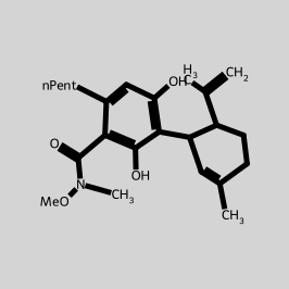 C=C(C)C1CCC(C)=CC1c1c(O)cc(CCCCC)c(C(=O)N(C)OC)c1O